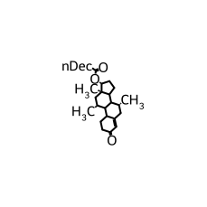 CCCCCCCCCCC(=O)O[C@H]1CCC2C3C(C4CCC(=O)C=C4C[C@H]3C)[C@@H](C)C[C@@]21C